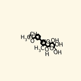 Cc1cc(-c2cccc(C(=O)N(C)C)c2)ccc1[C@@H](O)[C@H]1O[C@H](CO)[C@@H](O)[C@H](O)[C@@H]1O